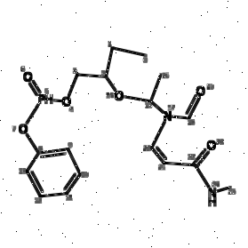 CCC(CO[PH](=O)Oc1ccccc1)OC(C)N(C=O)/C=C\C(=O)NC